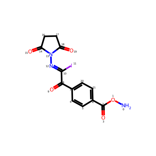 NOC(=O)c1ccc(C(=O)C(I)=NN2C(=O)CCC2=O)cc1